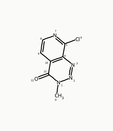 Cn1nnc2c(Cl)nccc2c1=O